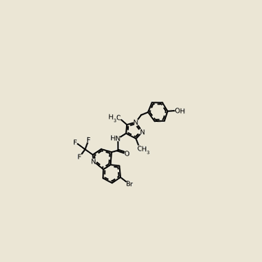 Cc1nn(Cc2ccc(O)cc2)c(C)c1NC(=O)c1cc(C(F)(F)F)nc2ccc(Br)cc12